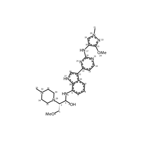 COC[C@@H](C(O)Nc1cccc2c(-c3ccnc(Nc4cn(C)nc4OC)n3)c[nH]c12)N1CCN(C)CC1